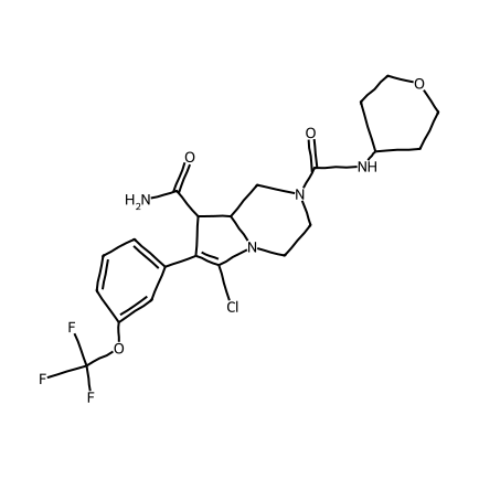 NC(=O)C1C(c2cccc(OC(F)(F)F)c2)=C(Cl)N2CCN(C(=O)NC3CCOCC3)CC12